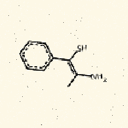 C/C(N)=C(/S)c1ccccc1